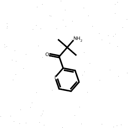 CC(C)(N)C(=O)C1=CC=CC=I1